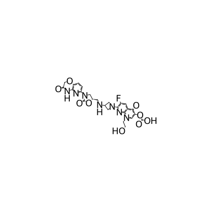 O=C1COc2ccc(N3C[C@@H](CNC4CN(c5nc6c(cc5F)c(=O)c(OC(=O)O)cn6CCO)C4)OC3=O)nc2N1